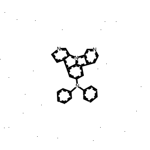 c1ccc(N(c2ccccc2)c2cc3c4ccncc4n4c5cnccc5c(c2)c34)cc1